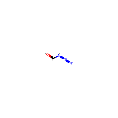 [N-]=[N+]=NC=O